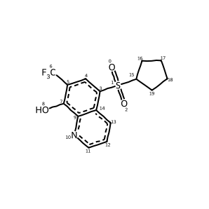 O=S(=O)(c1cc(C(F)(F)F)c(O)c2ncccc12)C1CCCC1